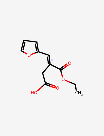 CCOC(=O)/C(=C/c1ccco1)CC(=O)O